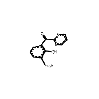 O=C(O)c1cccc(C(=O)c2ncccn2)c1O